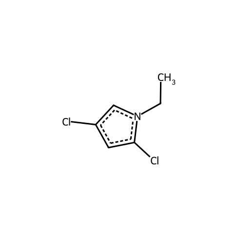 CCn1cc(Cl)cc1Cl